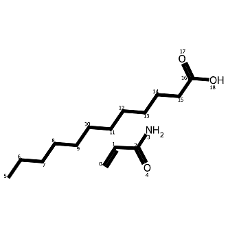 C=CC(N)=O.CCCCCCCCCCCC(=O)O